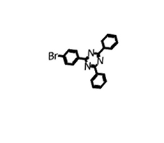 Brc1ccc(-c2nc(-c3ccccc3)nc(C3C=CC=CC3)n2)cc1